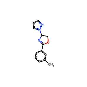 Cc1cccc(C2=NC(n3cccn3)CO2)c1